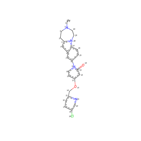 CC(C)N1CCc2cc3cc(-n4ccc(OCc5ccc(Cl)cn5)cc4=O)ccc3n2CC1